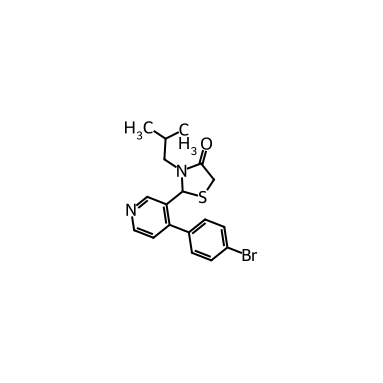 CC(C)CN1C(=O)CSC1c1cnccc1-c1ccc(Br)cc1